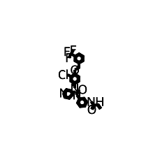 C=CC(=O)Nc1cccc(-n2c(=O)n(-c3ccc(OCc4cccc(C(F)(F)F)c4)c(Cl)c3)c3cnccc32)c1